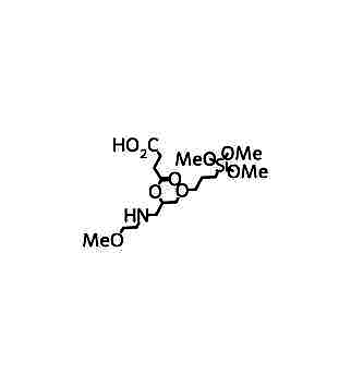 COCCNCC(COCCC[Si](OC)(OC)OC)OC(=O)CCC(=O)O